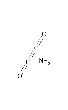 N.O=C=C=O